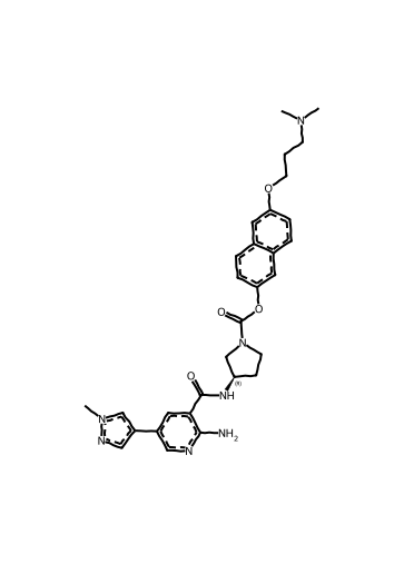 CN(C)CCCOc1ccc2cc(OC(=O)N3CC[C@@H](NC(=O)c4cc(-c5cnn(C)c5)cnc4N)C3)ccc2c1